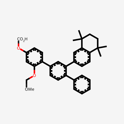 COCOc1cc(OC(=O)O)ccc1-c1ccc(-c2ccccc2)c(-c2ccc3c(c2)C(C)(C)CCC3(C)C)c1